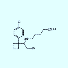 CCOC(=O)CCCCNC(CC(C)C)C1(c2ccc(Cl)cc2)CCC1